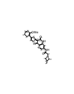 COC1=C(c2cn3nc4c5ncc(NC(=O)CN6CC(C)C6)cc5[nH]c(=O)c4c3s2)CCC=N1